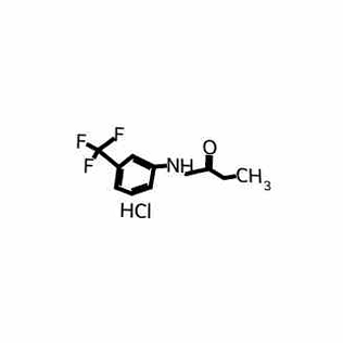 CCC(=O)CNc1cccc(C(F)(F)F)c1.Cl